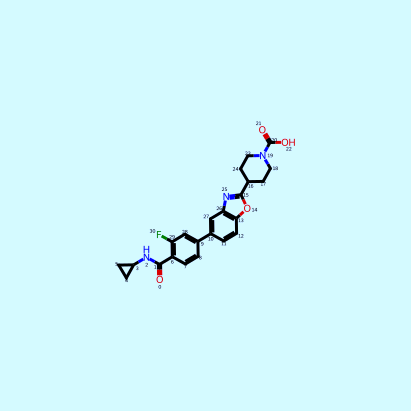 O=C(NC1CC1)c1ccc(-c2ccc3oc(C4CCN(C(=O)O)CC4)nc3c2)cc1F